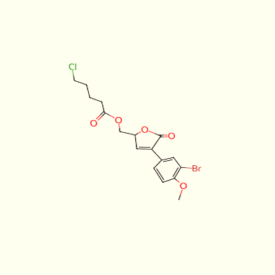 COc1ccc(C2=CC(COC(=O)CCCCCl)OC2=O)cc1Br